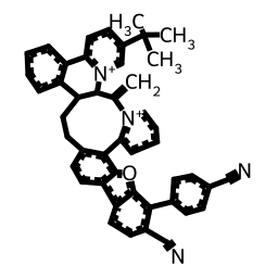 C=C1C2C(CCc3ccc4c(oc5c(-c6ccc(C#N)cc6)c(C#N)ccc54)c3-c3cccc[n+]31)c1ccccc1-c1ccc(C(C)(C)C)c[n+]12